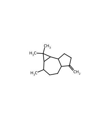 C=C1CCC2C1CCC(C)C1C2C1(C)C